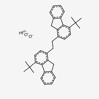 CC(C)(C)c1ccc(CCc2ccc(C(C)(C)C)c3c2Cc2ccccc2-3)c2c1-c1ccccc1C2.[Cl-].[Cl-].[Hf+2]